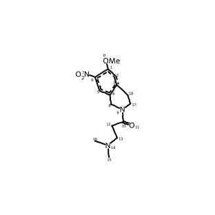 COc1cc2c(cc1[N+](=O)[O-])CN(C(=O)CCN(C)C)CC2